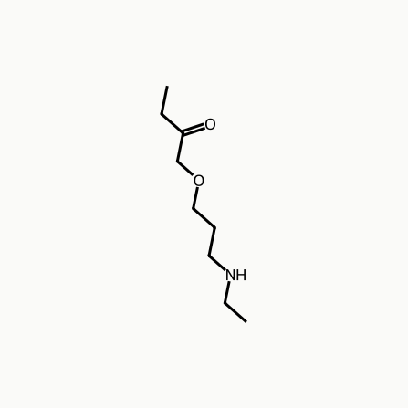 CCNCCCOCC(=O)CC